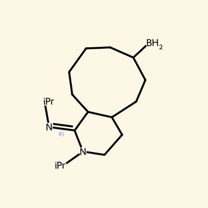 BC1CCCCC2/C(=N\C(C)C)N(C(C)C)CCC2CC1